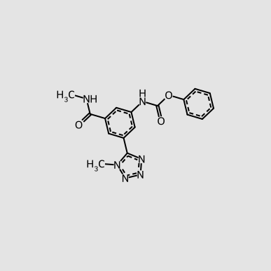 CNC(=O)c1cc(NC(=O)Oc2ccccc2)cc(-c2nnnn2C)c1